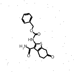 NC(=O)c1c(NC(=O)OCc2ccccc2)sc2c1CCC(=O)C2